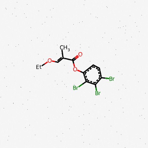 CCOC=C(C)C(=O)Oc1ccc(Br)c(Br)c1Br